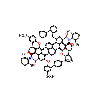 CC(C)c1cccc(C(C)C)c1N1C(=O)c2cc(Cc3ccccc3-c3ccccc3)c3c4ccc5c6c(Oc7ccc(S(=O)(=O)O)cc7-c7ccc(S(=O)(=O)O)cc7)cc7c8c(cc(Oc9ccc(S(=O)(=O)O)cc9-c9ccc(S(=O)(=O)O)cc9)c(c9ccc(c%10c(Oc%11ccccc%11-c%11ccccc%11)cc(c2c3%10)C1=O)c4c59)c86)C(=O)N(c1c(C(C)C)cccc1C(C)C)C7=O